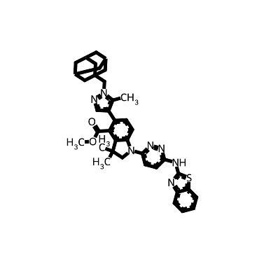 COC(=O)c1c(-c2cnn(CC34CC5CC(CC(C5)C3)C4)c2C)ccc2c1C(C)(C)CN2c1ccc(Nc2nc3ccccc3s2)nn1